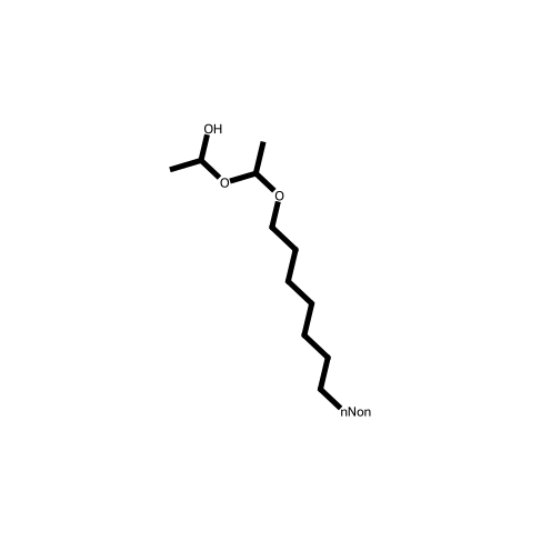 CCCCCCCCCCCCCCCCOC(C)OC(C)O